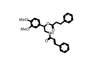 COc1ccc(C(CNC(=O)/C=C/c2ccccc2)OC(=O)CCc2ccccc2)cc1OC